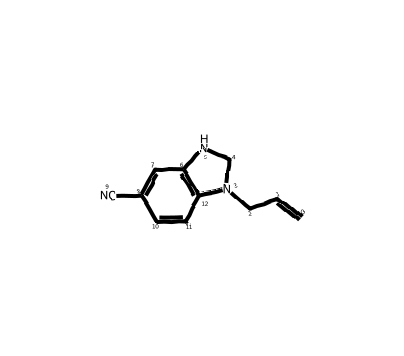 C=CCN1CNc2cc(C#N)ccc21